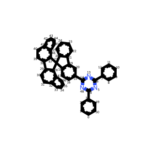 c1ccc(-c2nc(-c3ccccc3)nc(-c3ccc4c(c3)-c3ccccc3C43c4c(ccc5ccccc45)-c4ccc5ccccc5c43)n2)cc1